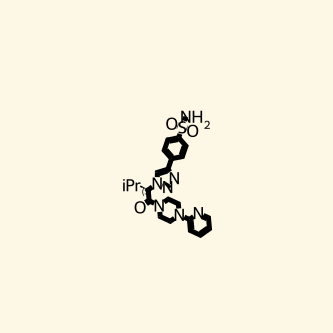 CC(C)[C@@H](C(=O)N1CCN(c2ccccn2)CC1)n1cc(-c2ccc(S(N)(=O)=O)cc2)nn1